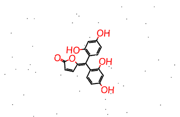 O=C1C=CC(=C(c2ccc(O)cc2O)c2ccc(O)cc2O)O1